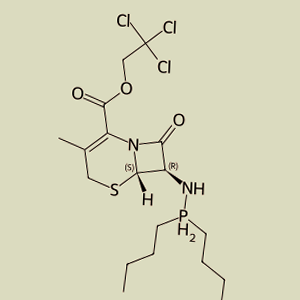 CCCC[PH2](CCCC)N[C@@H]1C(=O)N2C(C(=O)OCC(Cl)(Cl)Cl)=C(C)CS[C@@H]12